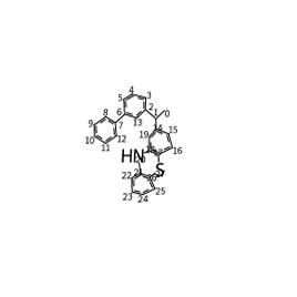 CC(c1cccc(-c2ccccc2)c1)c1ccc2c(c1)Nc1ccccc1S2